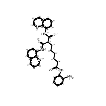 Nc1ccccc1NC(=O)CCCCCC(C(=O)Nc1cccc2cccnc12)C(=O)Nc1cccc2cccnc12